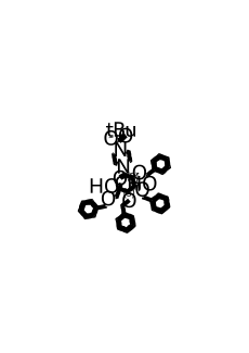 CC(C)(C)OC(=O)N1CCN(C(=O)[C@H](OCc2ccccc2)[C@@H](OCc2ccccc2)[C@H](OCc2ccccc2)C(O)(C=O)COCc2ccccc2)CC1